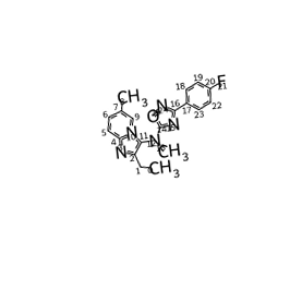 CCc1nc2ccc(C)cn2c1N(C)c1nc(-c2ccc(F)cc2)no1